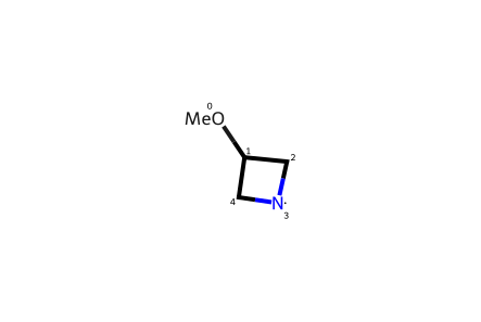 COC1C[N]C1